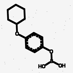 OB(O)Oc1ccc(OC2CCCCC2)cc1